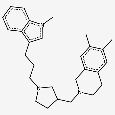 Cc1cc2c(cc1C)CN(CC1CCN(CCCc3cn(C)c4ccccc34)C1)CC2